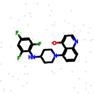 [O]c1ccnc2cccc(N3CCC(Nc4c(F)cc(F)cc4F)CC3)c12